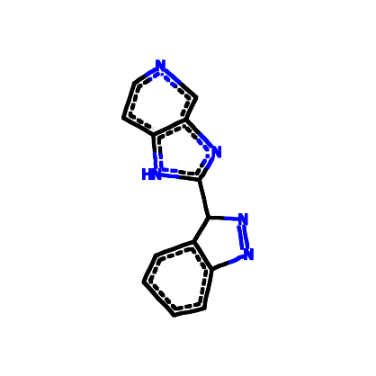 c1ccc2c(c1)N=NC2c1nc2cnccc2[nH]1